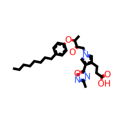 CCCCCCCCc1ccc(OC(C)C(=O)Cn2cc(CCC(=O)O)c(-c3nc(C)no3)c2)cc1